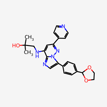 CC(C)(O)CNc1cc(-c2ccncc2)nn2c(-c3ccc(C4OCCO4)cc3)cnc12